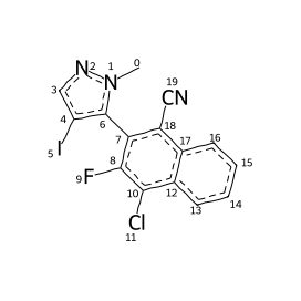 Cn1ncc(I)c1-c1c(F)c(Cl)c2ccccc2c1C#N